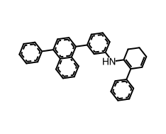 C1=CC(c2ccccc2)=C(Nc2cccc(-c3ccc(-c4ccccc4)c4ccccc34)c2)CC1